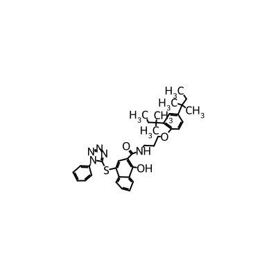 CCC(C)(C)c1ccc(OCCCNC(=O)c2cc(Sc3nnnn3-c3ccccc3)c3ccccc3c2O)c(C(C)(C)CC)c1